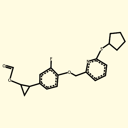 O=COC1CC1c1ccc(OCc2cccc(SC3CCCC3)n2)c(F)c1